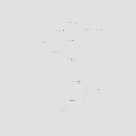 C=N/C(NCc1cc(N)cc(C(F)(F)F)c1)=C1/C=C(OC)C=C/C1=N/CCl